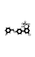 O=S1(=O)NCc2cc(Cl)cc(-c3ccc(OCc4cccc(F)c4)cc3)c2N1